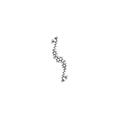 O=C(Oc1cccc2c(OC(=O)c3ccc(OCCCCCC(CC4CO4)C4CO4)cc3)cccc12)c1ccc(OCCCCCC(CC2CO2)C2CO2)cc1